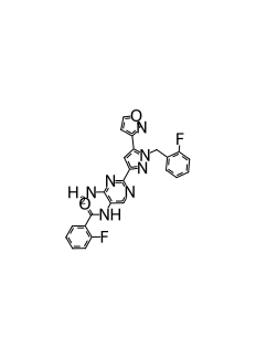 Nc1nc(-c2cc(-c3ccon3)n(Cc3ccccc3F)n2)ncc1NC(=O)c1ccccc1F